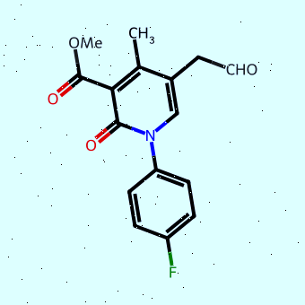 COC(=O)c1c(C)c(CC=O)cn(-c2ccc(F)cc2)c1=O